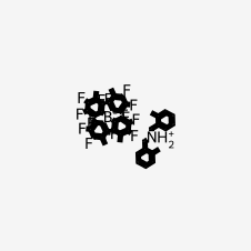 Cc1c(F)c(F)c(F)c([B-](c2c(F)c(C)c(F)c(F)c2F)(c2c(F)c(C)c(F)c(F)c2F)c2c(F)c(C)c(F)c(F)c2F)c1F.Cc1ccccc1C[NH2+]Cc1ccccc1C